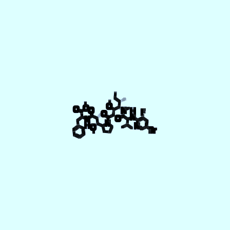 CC[C@H](C)[C@@H]([C@@H](CC(=O)N1CCCC1[C@H](OC)[C@@H](C)C(=O)NC(Cc1ccccc1)C(=O)OC)OC)N(C)C(=O)C(Nc1ncc(Br)cc1F)C(C)C